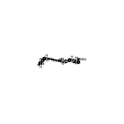 CNC(=O)c1ccccc1Nc1nc(Nc2ccc(N3CCN(C(=O)NCC(O)COCCOCCOCCC(=O)Nc4ccc5c(c4)CN(C4CCC(=O)NC4=O)C5=O)CC3)cc2)ncc1Cl